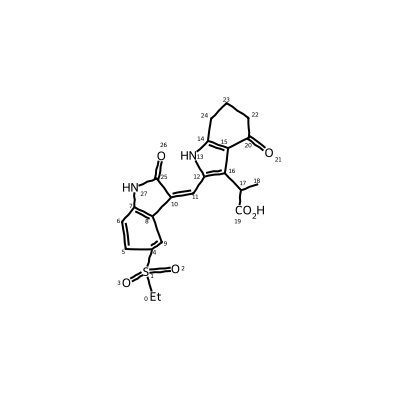 CCS(=O)(=O)c1ccc2c(c1)/C(=C/c1[nH]c3c(c1C(C)C(=O)O)C(=O)CCC3)C(=O)N2